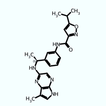 Cc1c[nH]c2ncc(N[C@@H](C)c3cccc(NC(=O)c4cc(C(C)C)on4)c3)nc12